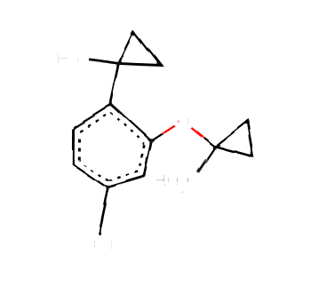 Cc1ccc(C2(C)CC2)c(OC2(C(=O)O)CC2)c1